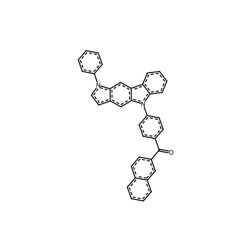 O=C(c1ccc(-n2c3ccccc3c3cc4c(ccn4-c4ccccc4)cc32)cc1)c1ccc2ccccc2c1